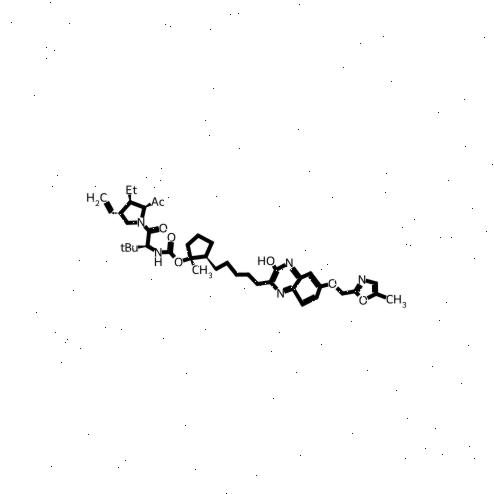 C=C[C@H]1CN(C(=O)[C@@H](NC(=O)O[C@]2(C)CCC[C@H]2CCCCCc2nc3ccc(OCc4ncc(C)o4)cc3nc2O)C(C)(C)C)[C@H](C(C)=O)[C@@H]1CC